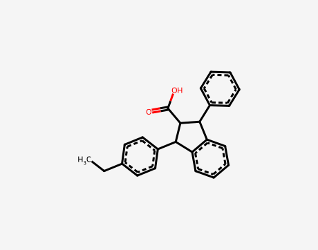 CCc1ccc(C2c3ccccc3C(c3ccccc3)C2C(=O)O)cc1